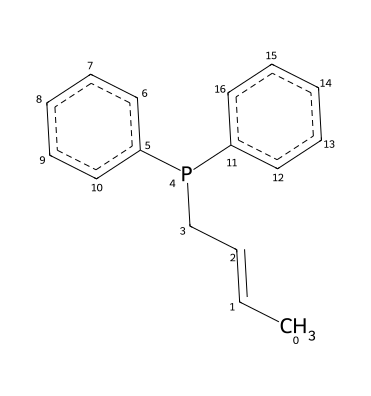 CC=CCP(c1ccccc1)c1ccccc1